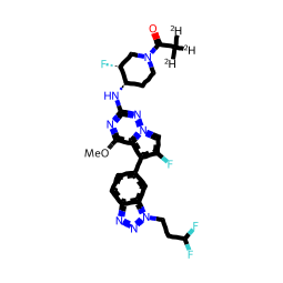 [2H]C([2H])([2H])C(=O)N1CC[C@H](Nc2nc(OC)c3c(-c4ccc5nnn(CCC(F)F)c5c4)c(F)cn3n2)[C@H](F)C1